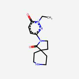 CCn1nc(N2CCC3(CCNCC3)C2=O)ccc1=O